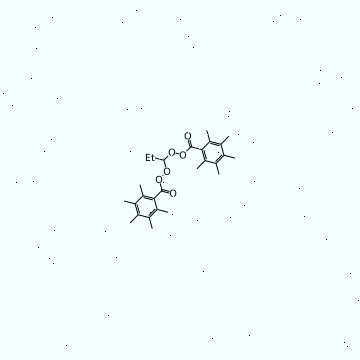 [CH2]C[C](OOC(=O)c1c(C)c(C)c(C)c(C)c1C)OOC(=O)c1c(C)c(C)c(C)c(C)c1C